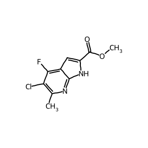 COC(=O)c1cc2c(F)c(Cl)c(C)nc2[nH]1